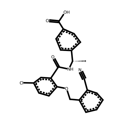 C[C@H](NC(=O)c1cc(Cl)ccc1OCc1ccccc1C#N)c1ccc(C(=O)O)cc1